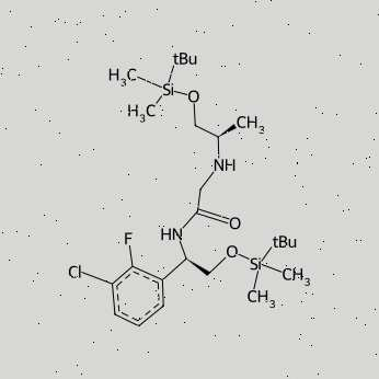 C[C@H](CO[Si](C)(C)C(C)(C)C)NCC(=O)N[C@@H](CO[Si](C)(C)C(C)(C)C)c1cccc(Cl)c1F